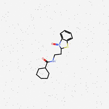 O=C(NCCC1Sc2ccccc2[N+]1=O)C1CCCCC1